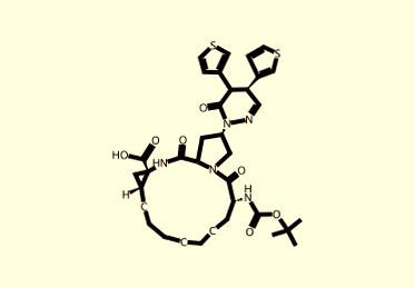 CC(C)(C)OC(=O)N[C@@H]1CCCCCCC[C@@H]2C[C@]2(C(=O)O)NC(=O)C2C[C@H](N3N=C[C@H](c4ccsc4)C(c4ccsc4)C3=O)CN2C1=O